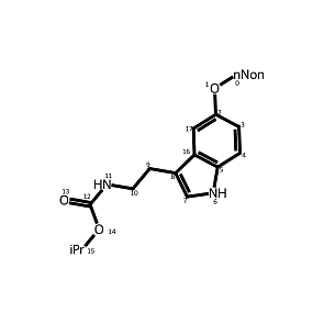 CCCCCCCCCOc1ccc2[nH]cc(CCNC(=O)OC(C)C)c2c1